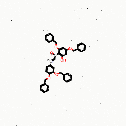 O=[13C](/C=[13CH]/c1ccc(OCc2ccccc2)c(OCc2ccccc2)c1)c1c(O)cc(OCc2ccccc2)cc1OCc1ccccc1